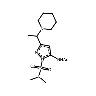 CC(=O)Nc1cc(C(C)N2CCCCC2)nn1S(=O)(=O)N(C)C